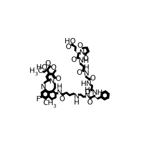 CC[C@@]1(O)C(=O)OCc2c1cc1n(c2=O)CCC2=c3c(c(C)c(F)c/c3=N/C1)CCC2NC(=O)CCCNCCNC(=O)[C@H](Cc1ccccc1)NC(=O)CNC(=O)CNC(=O)CCNC(=O)[C@H](CCC(=O)O)N1C(=O)C=CC1=O